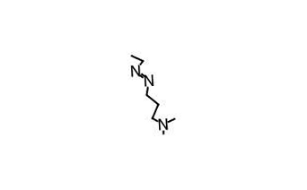 CCN=NCCCN(C)C